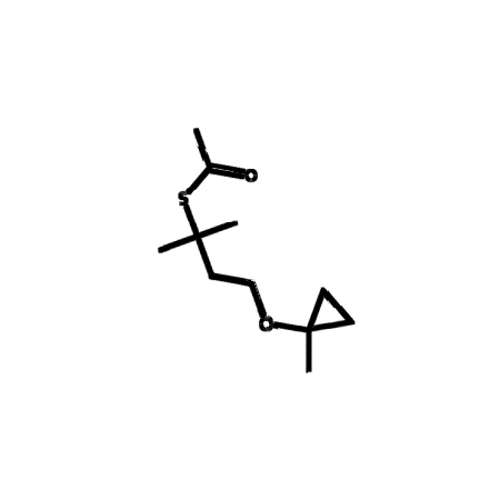 CC(=O)SC(C)(C)CCOC1(C)CC1